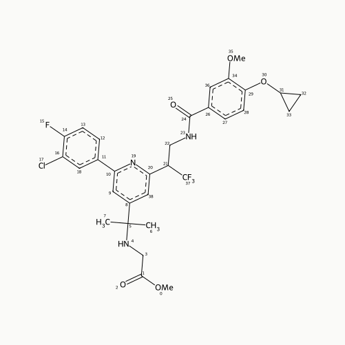 COC(=O)CNC(C)(C)c1cc(-c2ccc(F)c(Cl)c2)nc(C(CNC(=O)c2ccc(OC3CC3)c(OC)c2)C(F)(F)F)c1